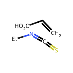 C=CC(=O)O.CCN=C=S